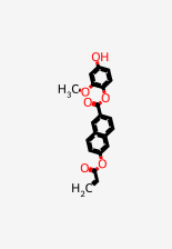 C=CC(=O)Oc1ccc2cc(C(=O)Oc3ccc(O)cc3OC)ccc2c1